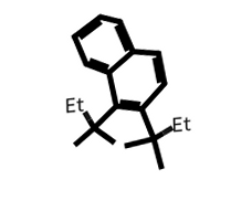 CCC(C)(C)c1ccc2ccccc2c1C(C)(C)CC